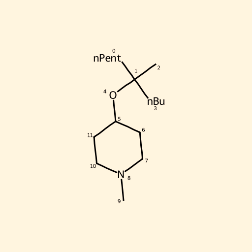 CCCCCC(C)(CCCC)OC1CCN(C)CC1